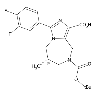 C[C@H]1CN(C(=O)OC(C)(C)C)Cc2c(C(=O)O)nc(-c3ccc(F)c(F)c3)n2C1